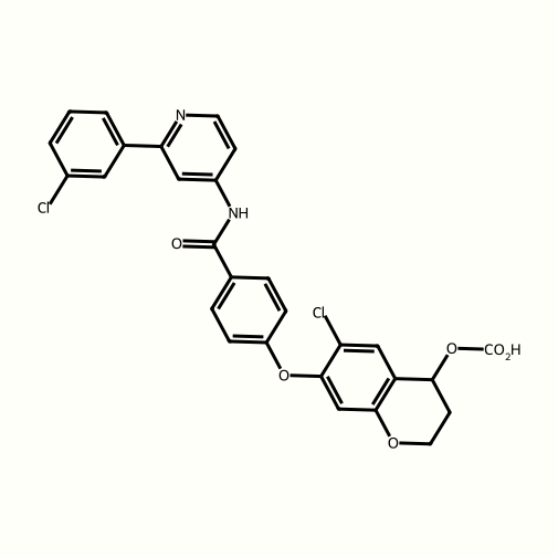 O=C(O)OC1CCOc2cc(Oc3ccc(C(=O)Nc4ccnc(-c5cccc(Cl)c5)c4)cc3)c(Cl)cc21